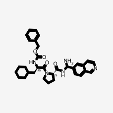 NC(NC(=O)[C@@H]1CCCN1C(=O)[C@@H](CC1CCCCC1)NC(=O)OCc1ccccc1)c1ccc2cnccc2c1